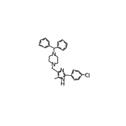 Cc1[nH]c(-c2ccc(Cl)cc2)nc1CN1CCN(C(c2ccccc2)c2ccccc2)CC1